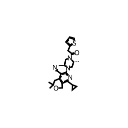 C[C@@H]1CN(c2nc(C3CC3)c3c(c2C#N)CC(C)(C)OC3)[C@@H](C)CN1C(=O)Cc1cccs1